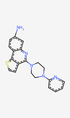 Nc1ccc2c(c1)nc(N1CCN(c3ccccn3)CC1)c1ccsc12